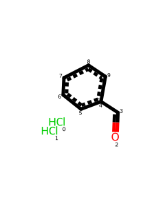 Cl.Cl.O=Cc1ccccc1